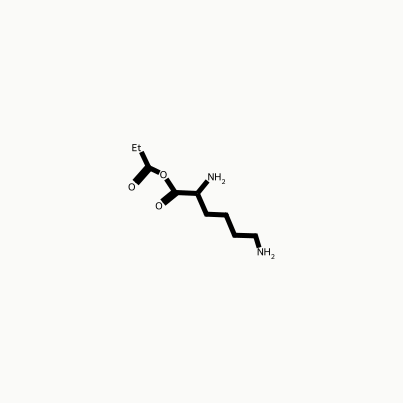 CCC(=O)OC(=O)C(N)CCCCN